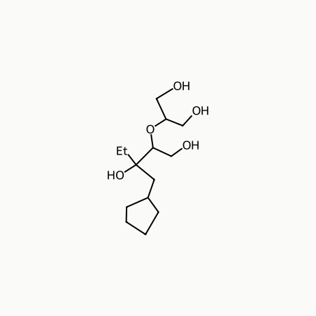 CCC(O)(CC1CCCC1)C(CO)OC(CO)CO